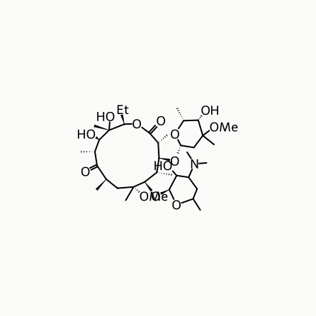 CC[C@H]1OC(=O)[C@H](C)[C@@H](O[C@H]2CC(C)(OC)[C@@H](O)[C@@H](C)O2)[C@H](C)[C@@H](O[C@@H]2OC(C)CC(N(C)C)C2O)[C@](C)(OC)C[C@@H](C)C(=O)[C@H](C)[C@@H](O)[C@]1(C)O